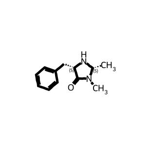 C[C@H]1N[C@@H](Cc2ccccc2)C(=O)N1C